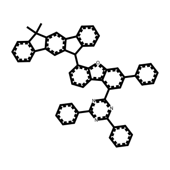 CC1(C)c2ccccc2-c2cc3c(cc21)-c1ccccc1C3c1cccc2c1oc1cc(-c3ccccc3)cc(-c3nc(-c4ccccc4)nc(-c4ccccc4)n3)c12